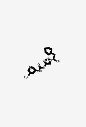 CC(Cc1ccccc1)[n+]1cc([N-]C(=O)Nc2cncc(C(F)(F)F)c2)on1